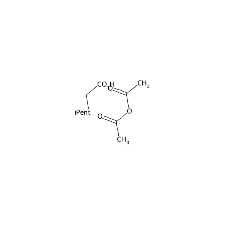 CC(=O)OC(C)=O.CCCC(C)CC(=O)O